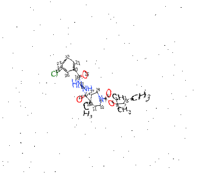 CCCC(C)(C)OC(=O)N1CCC(C)(C(=O)NNC(=O)c2cccc(Cl)c2)CC1